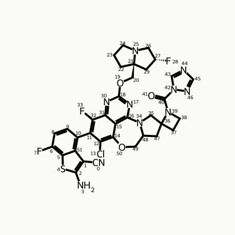 N#Cc1c(N)sc2c(F)ccc(-c3c(Cl)c4c5c(nc(OC[C@@]67CCCN6C[C@H](F)C7)nc5c3F)N3CC5(CCN5C(=O)n5cncn5)CC3CO4)c12